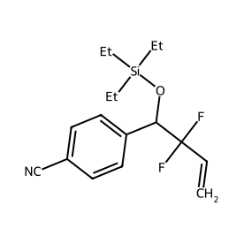 C=CC(F)(F)C(O[Si](CC)(CC)CC)c1ccc(C#N)cc1